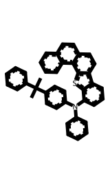 CC(C)(c1ccccc1)c1ccc(N(c2ccccc2)c2cccc3c2sc2c3ccc3ccc4ccccc4c32)cc1